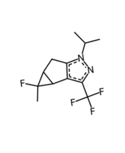 CC(C)n1nc(C(F)(F)F)c2c1CC1C2C1(C)F